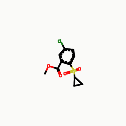 COC(=O)c1cc(Cl)ccc1S(=O)(=O)C1CC1